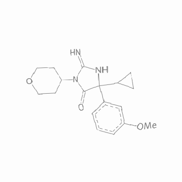 COc1cccc(C2(C3CC3)NC(=N)N(C3CCOCC3)C2=O)c1